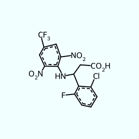 O=C(O)CC(Nc1c([N+](=O)[O-])cc(C(F)(F)F)cc1[N+](=O)[O-])c1c(F)cccc1Cl